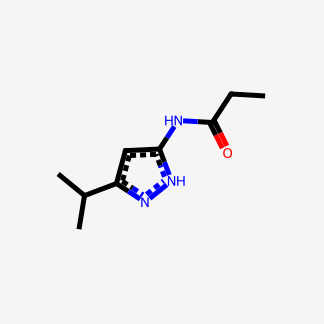 CCC(=O)Nc1cc(C(C)C)n[nH]1